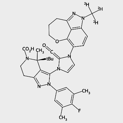 [2H]C([2H])([2H])n1nc2c3c(c(N4C=CN(c5c6c(nn5-c5cc(C)c(F)c(C)c5)CCN(C(=O)O)[C@@]6(C)C(C)(C)C)C4=C=O)ccc31)OCCC2